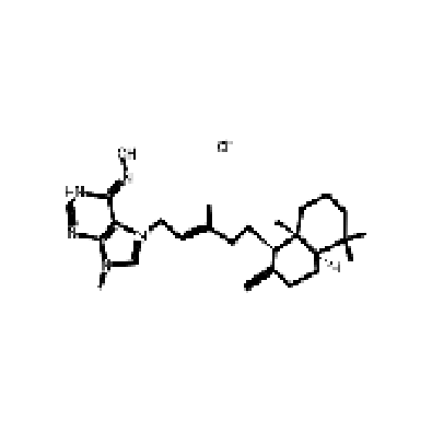 C=C1CC[C@@H]2C(C)(C)CCC[C@@]2(C)[C@@H]1CC/C(C)=C/C[n+]1cn(C)c2nc[nH]/c(=N\O)c21.[Cl-]